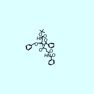 CC(C)(C)OC(=O)NC[C@](C)(COCc1ccccc1)N(C(=O)CCC(=O)NC(=O)c1ccccc1)C(=O)c1ccccc1